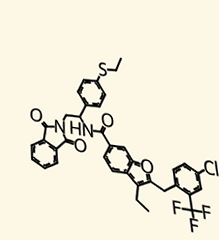 CCSc1ccc(C(CN2C(=O)c3ccccc3C2=O)NC(=O)c2ccc3c(CC)c(Cc4ccc(Cl)cc4C(F)(F)F)oc3c2)cc1